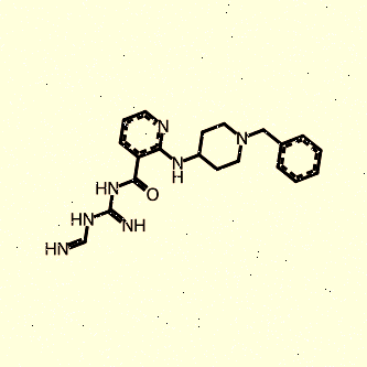 N=CNC(=N)NC(=O)c1cccnc1NC1CCN(Cc2ccccc2)CC1